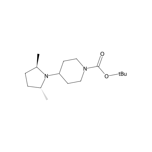 C[C@@H]1CC[C@@H](C)N1C1CCN(C(=O)OC(C)(C)C)CC1